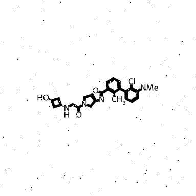 CNc1cccc(-c2cccc(-c3nc4c(o3)CN(C(=O)CN[C@H]3C[C@H](O)C3)C4)c2C)c1Cl